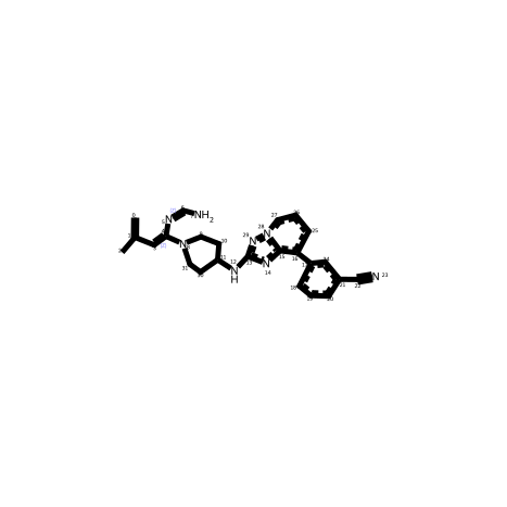 C=C(C)/C=C(\N=C/N)N1CCC(Nc2nc3c(-c4cccc(C#N)c4)cccn3n2)CC1